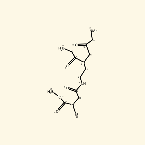 BCC(=O)N(CCNC(=O)CN(CC)C(=O)CB)CC(=O)CNC